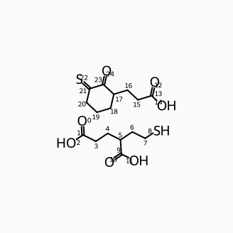 O=C(O)CCC(CCS)C(=O)O.O=C(O)CCC1CCCC(=S)C1=O